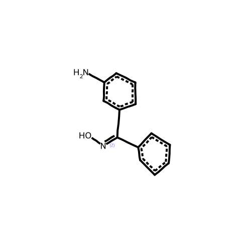 Nc1cccc(/C(=N\O)c2ccccc2)c1